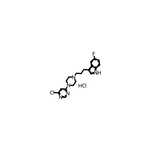 Cl.Fc1ccc2[nH]cc(CCCN3CCN(c4cc(Cl)ncn4)CC3)c2c1